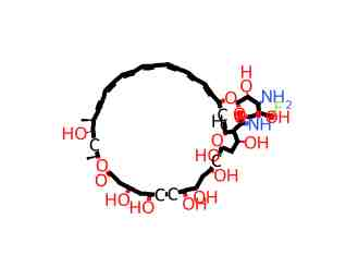 C[C@H]1C[C@H](O)[C@@H](C)/C=C/C=C/C=C/C=C/C=C/C=C/C=C/C(O[C@@H]2OC[C@@H](O)[C@H](N)[C@H]2O)C[C@@H]2OC(O)(CC(O)CC(O)C(O)CCC(O)CC(O)CC(=O)O1)C[C@H](O)C2C(=O)NCCF